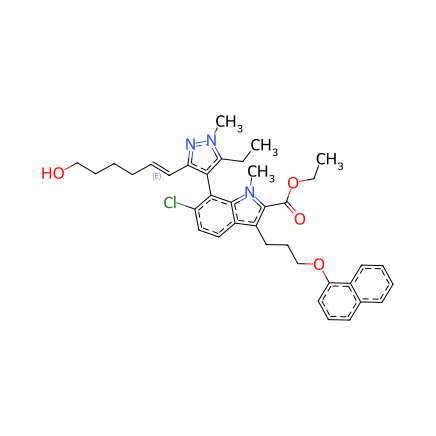 CCOC(=O)c1c(CCCOc2cccc3ccccc23)c2ccc(Cl)c(-c3c(/C=C/CCCCO)nn(C)c3CC)c2n1C